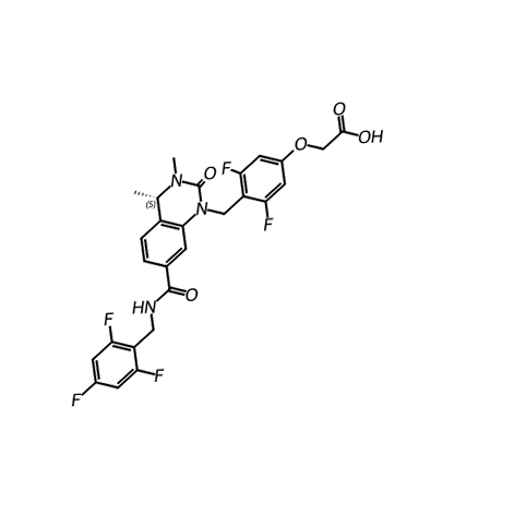 C[C@H]1c2ccc(C(=O)NCc3c(F)cc(F)cc3F)cc2N(Cc2c(F)cc(OCC(=O)O)cc2F)C(=O)N1C